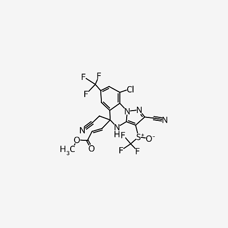 COC(=O)/C=C/C1(CC#N)Nc2c([S+]([O-])C(F)(F)F)c(C#N)nn2-c2c(Cl)cc(C(F)(F)F)cc21